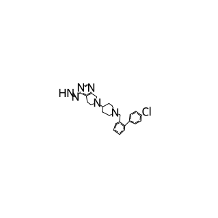 N=Nc1ncnc2c1CCN(C1CCN(Cc3ccccc3-c3ccc(Cl)cc3)CC1)C2